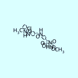 Cc1cccc(Cl)c1Nc1nc2ccc(CC(=O)Nc3ccc(C4CN(C(=O)C5=CC(C)ON5)CC4C(=O)O)cc3)cc2o1